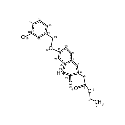 CCOC(=O)Cc1cc2ccc(OCc3cccc(Cl)c3)cc2[nH]c1=O